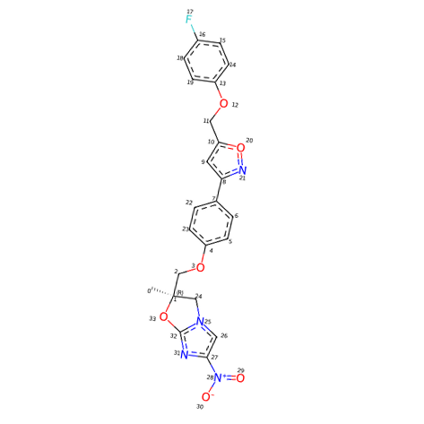 C[C@]1(COc2ccc(-c3cc(COc4ccc(F)cc4)on3)cc2)Cn2cc([N+](=O)[O-])nc2O1